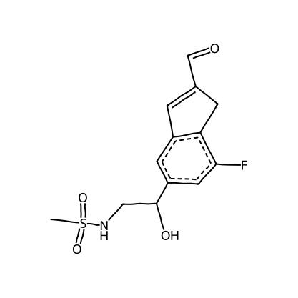 CS(=O)(=O)NCC(O)c1cc(F)c2c(c1)C=C(C=O)C2